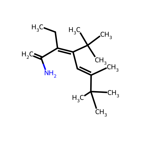 C=C(N)/C(CC)=C(\C=C(/C)C(C)(C)C)C(C)(C)C